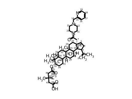 C=C(C)C1CC[C@]2(CC(=O)N3CCN(Cc4ccccn4)CC3)CC[C@]3(C)[C@H](CC[C@@H]4[C@@]5(C)CC[C@H](OC(=O)CC(C)(C)CC(=O)O)C(C)(C)[C@@H]5CC[C@]43C)[C@@H]12